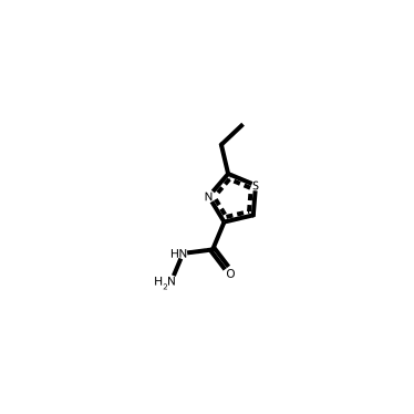 CCc1nc(C(=O)NN)cs1